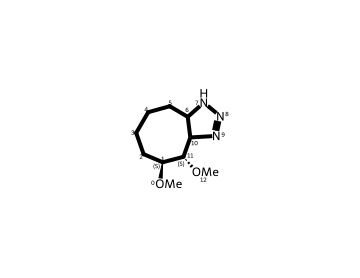 CO[C@H]1CCCCC2NN=NC2[C@@H]1OC